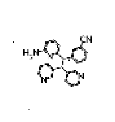 N#Cc1cccc(C(c2cccc(N)n2)C(c2cccnc2)c2cccnc2)c1